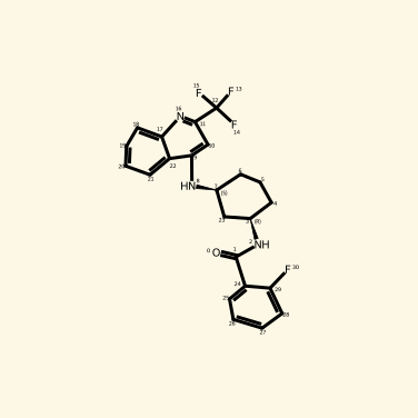 O=C(N[C@@H]1CCC[C@H](Nc2cc(C(F)(F)F)nc3ccccc23)C1)c1ccccc1F